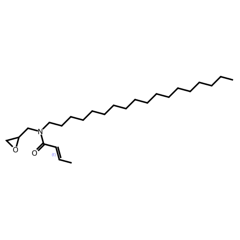 C/C=C/C(=O)N(CCCCCCCCCCCCCCCCCC)CC1CO1